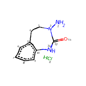 Cl.NN1CCc2ccccc2NC1=O